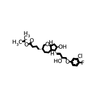 CC(C)OC(=O)CCC[C@H]1CC[C@@H]2[C@@H](/C=C/[C@@H](O)COc3ccc(F)c(Cl)c3)[C@H](O)C[C@@H]2OC1